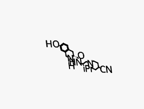 CC(C)[C@@H](CN1CCC(C#N)CC1)NC(=O)[C@H]1Cc2ccc(O)cc2CN1